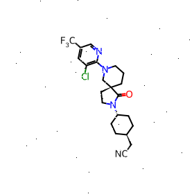 N#CC[C@H]1CC[C@H](N2CC[C@@]3(CCCN(c4ncc(C(F)(F)F)cc4Cl)C3)C2=O)CC1